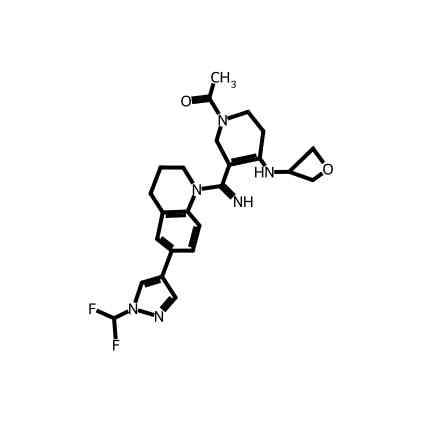 CC(=O)N1CCC(NC2COC2)=C(C(=N)N2CCCc3cc(-c4cnn(C(F)F)c4)ccc32)C1